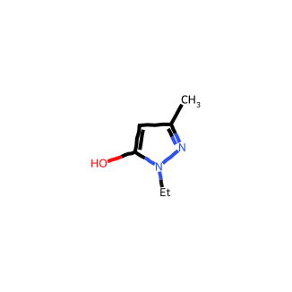 CCn1nc(C)cc1O